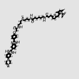 Cc1cc(C)n(B(F)F)c1/C=C1/C=CC(CCC(=O)NCCCCCC(=O)NCCCN(C)CCCNC(=O)COc2ccc(-c3nc4cc(C5Nc6ccc(N7CCN(C)CC7)cc6N5)ccc4[nH]3)cc2)=N1